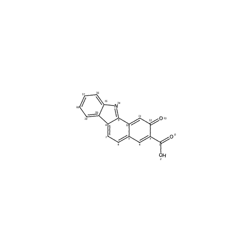 O=C(O)C1=Cc2ccc3c(c2=CC1=O)=Nc1ccccc1-3